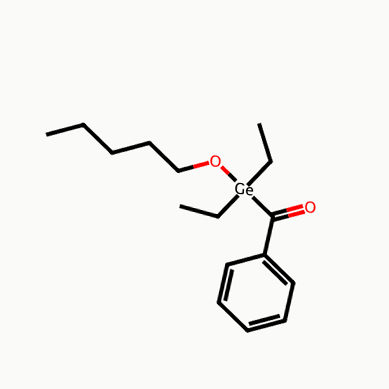 CCCCC[O][Ge]([CH2]C)([CH2]C)[C](=O)c1ccccc1